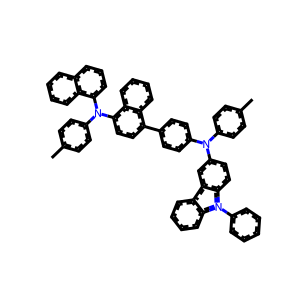 Cc1ccc(N(c2ccc(-c3ccc(N(c4ccc(C)cc4)c4cccc5ccccc45)c4ccccc34)cc2)c2ccc3c(c2)c2ccccc2n3-c2ccccc2)cc1